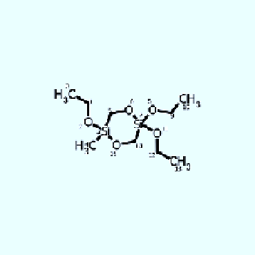 CCO[Si]1(C)CO[Si](OCC)(OCC)CO1